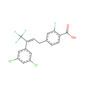 O=C(O)c1ccc(C/C=C(\c2cc(Cl)cc(Cl)c2)C(F)(F)F)cc1F